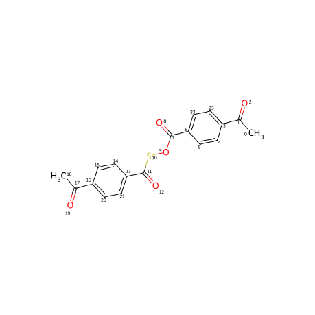 CC(=O)c1ccc(C(=O)OSC(=O)c2ccc(C(C)=O)cc2)cc1